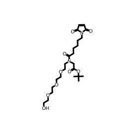 CC(C)(C)OC(=O)CN(CCOCCOCCOCCO)C(=O)CCCCCN1C(=O)C=CC1=O